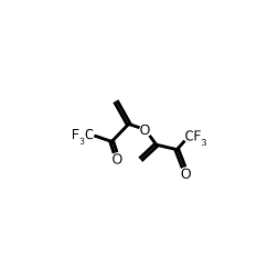 C=C(OC(=C)C(=O)C(F)(F)F)C(=O)C(F)(F)F